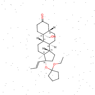 CC=C[C@]1(OC2(OCC)CCCC2)CC[C@H]2[C@@H]3CC[C@H]4CC(=O)CC[C@]4(CO)[C@H]3CC[C@@]21C